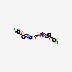 O=C(/C=C/C(=O)OC1CCN(CC2NCCc3c(C(=O)Cc4ccc(Cl)c(Cl)c4)cccc32)C1)OC1CCN(CC2NCCc3c(C(=O)Cc4ccc(Cl)c(Cl)c4)cccc32)C1